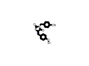 CCOc1ccc(/C=C2/SC(=O)N(Cc3ccc(C#N)cc3)C2=O)cc1